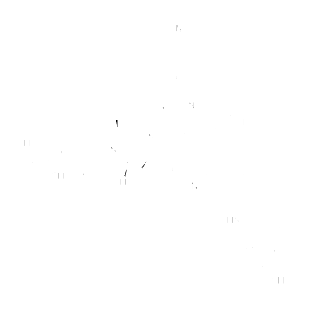 CC(C)(C)OC(=O)Nc1sc2ccc(F)c(-c3c(Cl)c4c5c(nc(OCC67CCCN6CCC7)nc5c3F)N3C[C@H]5CC6(C(=O)OC(C)(C)C)C[C@@H]([C@H]3CO4)N56)c2c1C#N